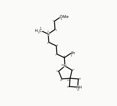 COCCN(C)CCCC(C(C)C)N1CCC2(CNC2)C1